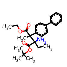 CCOC(=O)C(C)(c1ccc(-c2ccccc2)cc1)C(N)(CC)C(=O)OC(C)(C)C